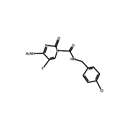 CC(=O)Nc1nc(=O)n(C(=O)NCc2ccc(Cl)cc2)cc1F